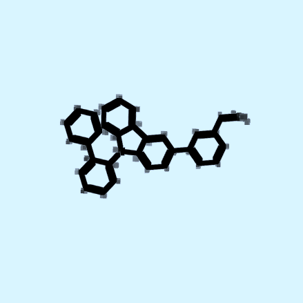 C=Cc1cccc(-c2ccc3c(c2)c2ccccc2n3-c2ccccc2-c2ccccc2)c1